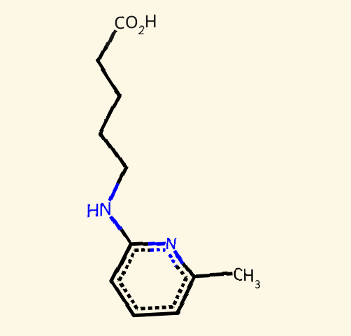 Cc1cccc(NCCCCC(=O)O)n1